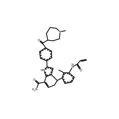 C=CC(=O)Nc1cccc(C2CC=C(C(N)=O)c3[nH]c(-c4ccc(C(=O)C5CCCN(C)CC5)cc4)cc32)c1C